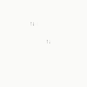 CCC1CCCN1CC.N